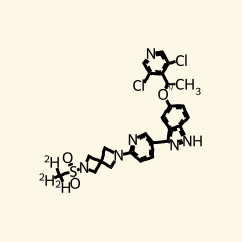 [2H]C([2H])([2H])S(=O)(=O)N1CC2(CN(c3ccc(-c4n[nH]c5ccc(O[C@H](C)c6c(Cl)cncc6Cl)cc45)cn3)C2)C1